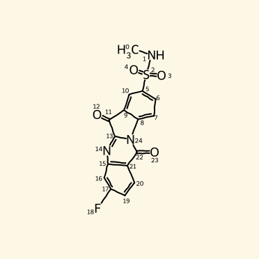 CNS(=O)(=O)c1ccc2c(c1)C(=O)c1nc3cc(F)ccc3c(=O)n1-2